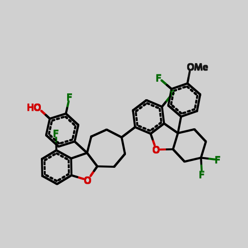 COc1ccc(C23CCC(F)(F)CC2Oc2c(C4CCC5Oc6cccc(F)c6C5(c5ccc(O)c(F)c5)CC4)ccc(F)c23)cc1F